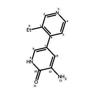 CCc1cnccc1-c1c[nH]c(=O)c(N)c1